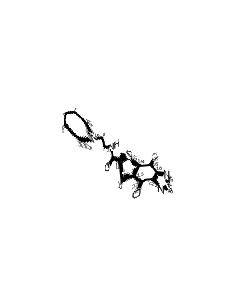 O=C(NCCN1CCCCC1)c1cc2c(s1)C(=O)c1nsnc1C2=O